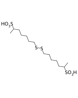 CC(CCCCCSSCCCCCC(C)S(=O)(=O)O)S(=O)(=O)O